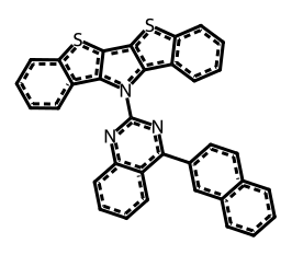 c1ccc2cc(-c3nc(-n4c5c6ccccc6sc5c5sc6ccccc6c54)nc4ccccc34)ccc2c1